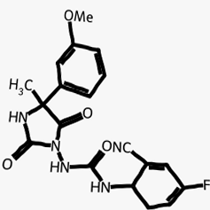 COc1cccc(C2(C)NC(=O)N(NC(=O)NC3CC=C(F)C=C3C#N)C2=O)c1